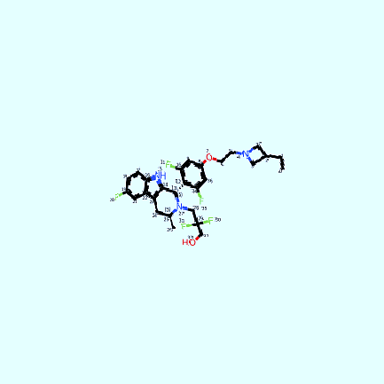 CCC1CN(CCOc2cc(F)c([C@H]3c4[nH]c5ccc(F)cc5c4C[C@H](C)N3CC(F)(F)CO)c(F)c2)C1